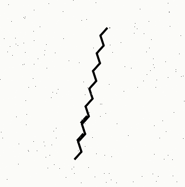 [CH2]CCCCCCCCC/C=C/C=C/CC